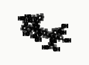 OCCCN(CCO)c1nc(N(CCO)CCO)nc(N(Cc2ccc(OCCO)cc2)Cc2ccc(CN(CCO)c3nc(N(CCO)Cc4ccccc4OCCO)nc(N(CCO)Cc4ccccc4OCCO)n3)c(OCCO)c2)n1